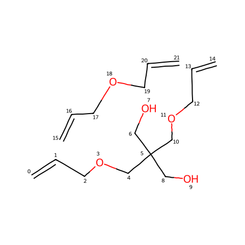 C=CCOCC(CO)(CO)COCC=C.C=CCOCC=C